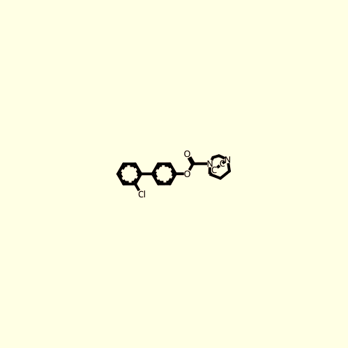 O=C(Oc1ccc(-c2ccccc2Cl)cc1)N1CCN2CCC1CC2